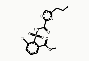 CCCc1coc(C(=O)NS(=O)(=O)c2c(Cl)cccc2C(=O)OC)n1